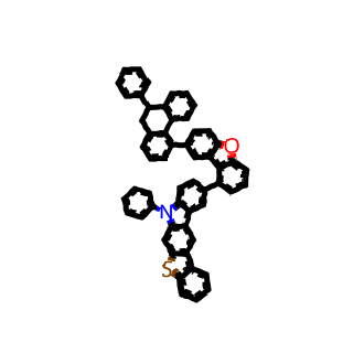 c1ccc(C2Cc3cccc(-c4ccc5oc6cccc(-c7ccc8c(c7)c7cc9c(cc7n8-c7ccccc7)sc7ccccc79)c6c5c4)c3-c3ccccc32)cc1